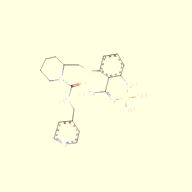 NC1=NS(O)(O)Nc2cccc(OCC3CCCCN3C(=O)NCc3ccncc3)c21